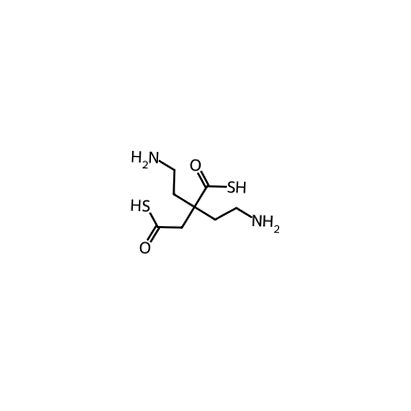 NCCC(CCN)(CC(=O)S)C(=O)S